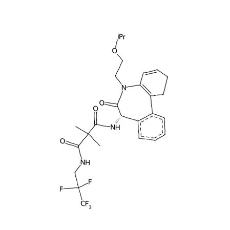 CC(C)OCCN1C(=O)[C@@H](NC(=O)C(C)(C)C(=O)NCC(F)(F)C(F)(F)F)c2ccccc2C2=C1C=CCC2